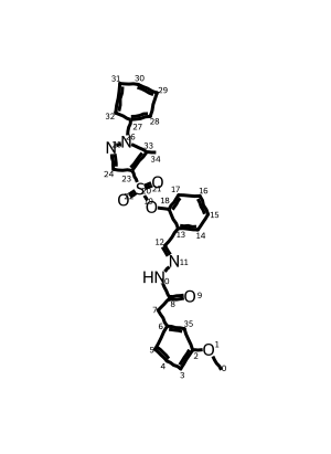 COc1cccc(CC(=O)N/N=C/c2ccccc2OS(=O)(=O)c2cnn(-c3ccccc3)c2C)c1